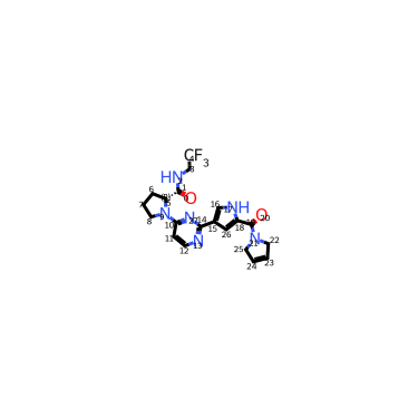 O=C(NCC(F)(F)F)[C@H]1CCCN1c1ccnc(-c2c[nH]c(C(=O)N3CC=CC3)c2)n1